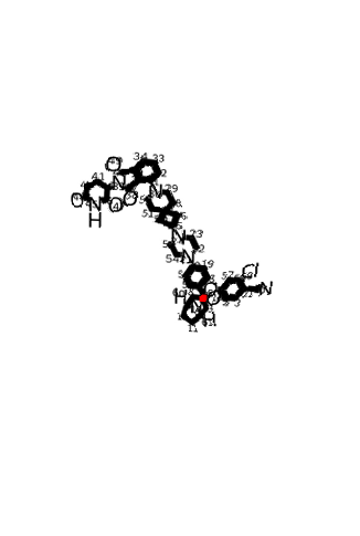 N#Cc1ccc(O[C@H]2C[C@H]3CC[C@@H](C2)N3C(=O)c2ccc(N3CCN(C4CC5(CCN(c6cccc7c6C(=O)N(C6CCC(=O)NC6=O)C7=O)CC5)C4)CC3)cc2)cc1Cl